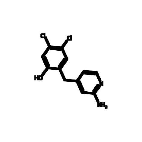 Nc1cc(Cc2cc(Cl)c(Cl)cc2O)ccn1